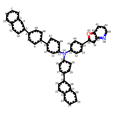 c1ccc2cc(-c3ccc(-c4ccc(N(c5ccc(-c6ccc7ccccc7c6)cc5)c5ccc(-c6cc7ncccc7o6)cc5)cc4)cc3)ccc2c1